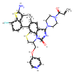 C=CC(=O)N1CCN(c2nc(=O)n3c4c(c(-c5ccc(F)c6sc(N)c(C#N)c56)c(C(F)(F)F)cc24)SCC3COc2ccncc2)CC1